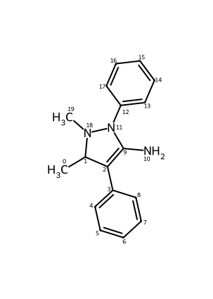 CC1C(c2ccccc2)=C(N)N(c2ccccc2)N1C